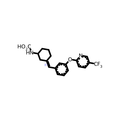 O=C(O)NC1CCC/C(=C\c2cccc(Oc3ccc(C(F)(F)F)cn3)c2)C1